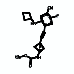 CC(C)(C)OC(=O)NC12CC(C#Cc3cc(F)c(C#N)cc3NC3CCC3)(C1)C2